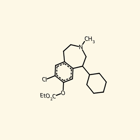 CCOC(=O)Oc1cc2c(cc1Cl)CCN(C)CC2C1CCCCC1